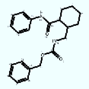 O=C(NCC1CCCCC1C(=O)Nc1ccccc1)OCc1ccccc1